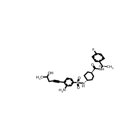 CC(O)CC#Cc1ccc(S(=O)(=O)N[C@H]2CC[C@H](C(=O)N[C@H](C)c3ccc(F)cc3)CC2)cc1N